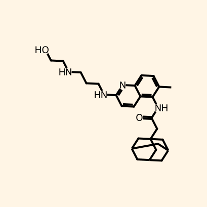 Cc1ccc2nc(NCCCNCCO)ccc2c1NC(=O)CC12CC3CC(CC(C3)C1)C2